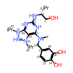 CC(C)[C@H](CO)Nc1nc(N(C)Cc2ccc(O)c(O)c2)c2c(n1)N(C(C)C)NN2C(C)C